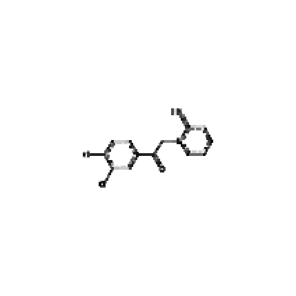 N=c1ccccn1CC(=O)c1ccc(Cl)c(Cl)c1